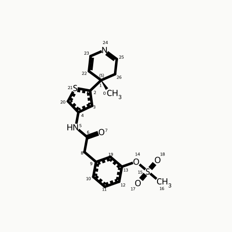 C[C@@]1(c2cc(NC(=O)Cc3cccc(OS(C)(=O)=O)c3)cs2)C=CN=CC1